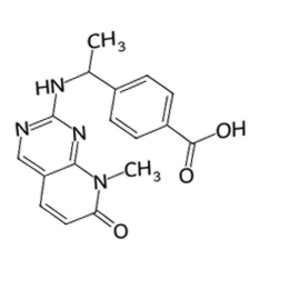 CC(Nc1ncc2ccc(=O)n(C)c2n1)c1ccc(C(=O)O)cc1